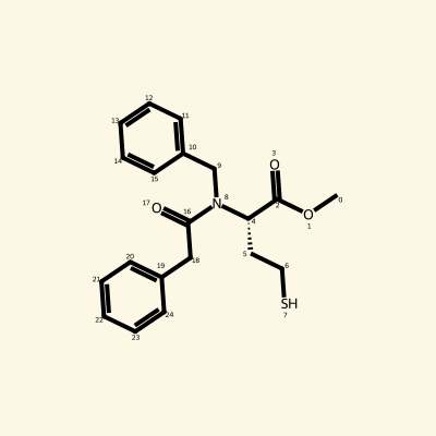 COC(=O)[C@H](CCS)N(Cc1ccccc1)C(=O)Cc1ccccc1